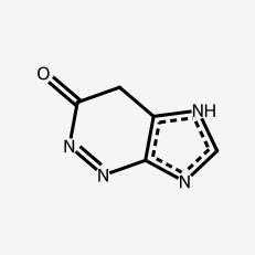 O=C1Cc2[nH]cnc2N=N1